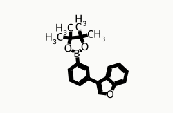 CC1(C)OB(c2cccc(-c3coc4ccccc34)c2)OC1(C)C